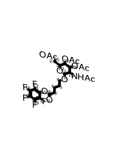 CC(=O)NC1C(OCCCCC(=O)Oc2c(F)c(F)c(F)c(F)c2F)OC(COC(C)=O)C(OC(C)=O)C1OC(C)=O